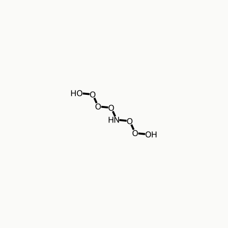 OOONOOOO